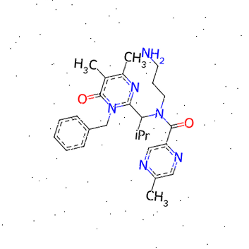 Cc1cnc(C(=O)N(CCCN)C(c2nc(C)c(C)c(=O)n2Cc2ccccc2)C(C)C)cn1